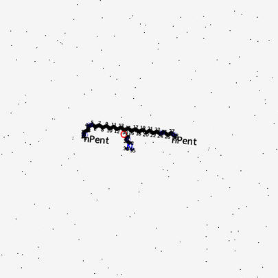 CCCCC/C=C\C/C=C\CCCCCCCCC(CCCCCCCCC/C=C/C/C=C\CCCCC)O/C=C/CN(C)C